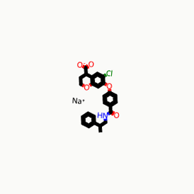 CC(CNC(=O)c1ccc(Oc2cc3c(cc2Cl)C(C(=O)[O-])CCO3)cc1)c1ccccc1.[Na+]